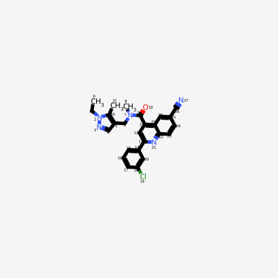 CCn1ncc(CN(C)C(=O)c2cc(-c3cccc(Cl)c3)nc3ccc(C#N)cc23)c1C